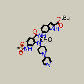 CC(C)(C)OC(=O)c1cc2ccc(NC(=O)c3ccc(NS(C)(=O)=O)cc3N(C=O)C3CCN(c4ccncc4)CC3)cc2[nH]1